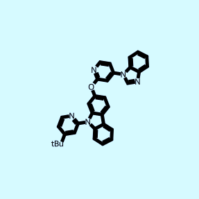 CC(C)(C)c1ccnc(-n2c3ccccc3c3ccc(Oc4cc(-n5cnc6ccccc65)ccn4)cc32)c1